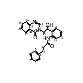 O=C(CCc1ccccc1)Nc1ccccc1C(O)Cn1cnc2ccccc2c1=O